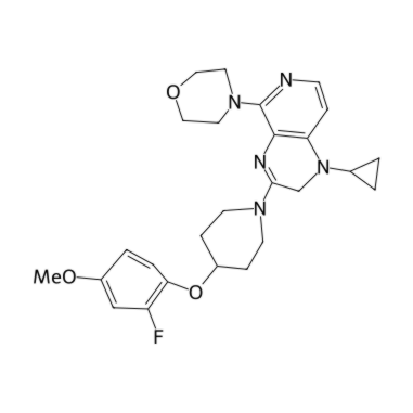 COc1ccc(OC2CCN(C3=Nc4c(ccnc4N4CCOCC4)N(C4CC4)C3)CC2)c(F)c1